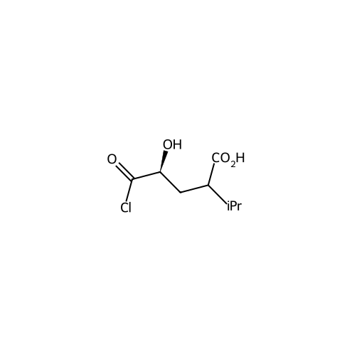 CC(C)C(C[C@H](O)C(=O)Cl)C(=O)O